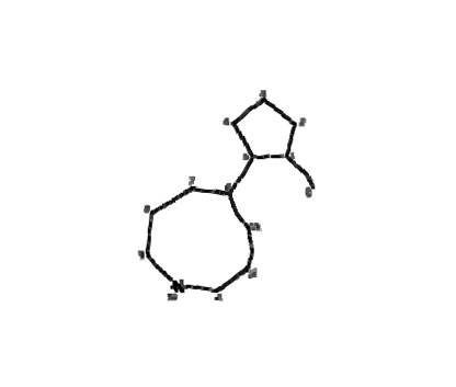 CC1CCCC1C1CCC[N]CCC1